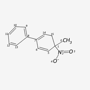 CC1([N+](=O)[O-])C=CC(c2ccccc2)=CC1